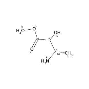 COC(=O)C(O)[C@H](C)N